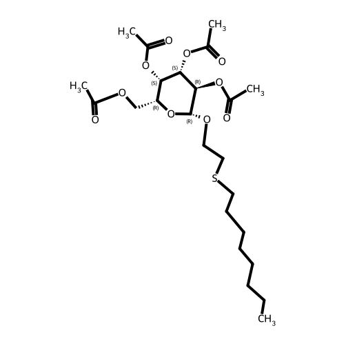 CCCCCCCCSCCO[C@@H]1O[C@H](COC(C)=O)[C@H](OC(C)=O)[C@H](OC(C)=O)[C@H]1OC(C)=O